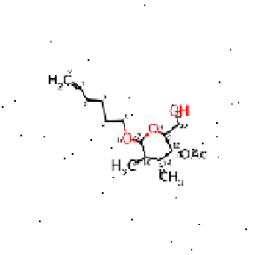 C=CCCCCO[C@H]1OC(CO)[C@H](OC(C)=O)[C@H](C)C1C